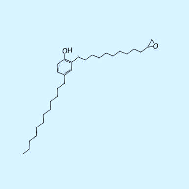 CCCCCCCCCCCCc1ccc(O)c(CCCCCCCCCCC2CO2)c1